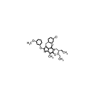 C=CC(Cn1c(=O)c2c(nc(Oc3cccc(OC)c3)n2Cc2ccc(Cl)cc2)n(C)c1=O)OCC